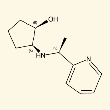 C[C@H](N[C@H]1CCC[C@H]1O)c1ccccn1